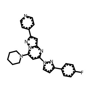 Fc1ccc(-c2ccn(-c3cc(N4CCCCC4)n4nc(-c5ccncc5)cc4n3)n2)cc1